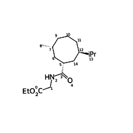 CCOC(=O)CNC(=O)[C@@H]1C[C@H](C)CCC[C@@H](C(C)C)C1